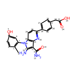 Cc1ccc(O)cc1-n1c(N)c(C(N)=O)c2nc(-c3ccc(CC(=O)O)cc3)ccc21